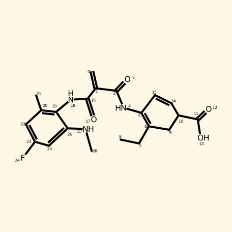 C=C(C(=O)NC1=C(CC)CC(C(=O)O)C=C1)C(=O)Nc1c(C)cc(F)cc1NC